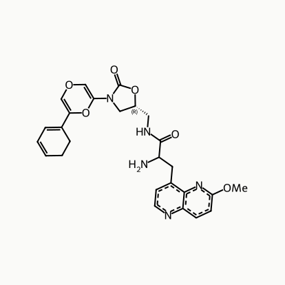 COc1ccc2nccc(CC(N)C(=O)NC[C@@H]3CN(C4=COC=C(C5=CC=CCC5)O4)C(=O)O3)c2n1